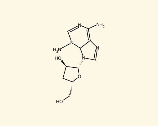 NC1=C2N=CN([C@@H]3O[C@H](CO)C[C@H]3O)C2N(N)C=N1